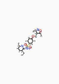 CCc1ccc(C)nc1NS(=O)(=O)c1ccc(OCc2c(C)noc2C)cc1